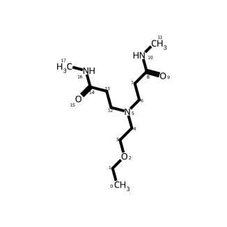 CCOCCN(CCC(=O)NC)CCC(=O)NC